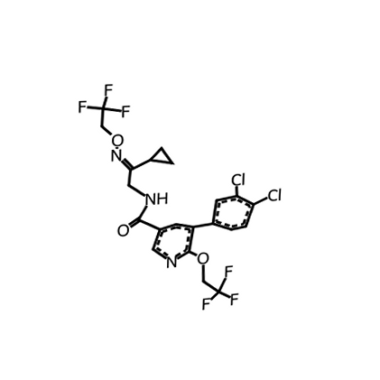 O=C(NC/C(=N/OCC(F)(F)F)C1CC1)c1cnc(OCC(F)(F)F)c(-c2ccc(Cl)c(Cl)c2)c1